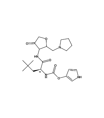 CC(C)(C)C[C@H](NC(=O)Oc1cc[nH]c1)C(=O)NC1C(=O)COC1CN1CCCC1